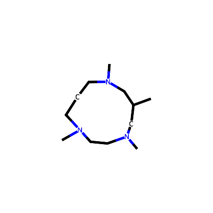 CC1CN(C)CCCN(C)CCN(C)C1